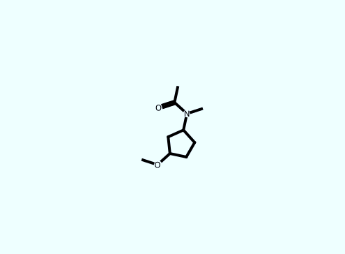 COC1CCC(N(C)C(C)=O)C1